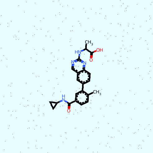 Cc1ccc(C(=O)NC2CC2)cc1-c1ccc2nc(NC(C)C(=O)O)ncc2c1